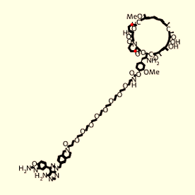 CO[C@H]1C[C@@H]2CC[C@@H](C)[C@@](O)(O2)C(=O)C(=O)N2CCCC[C@H]2C(=O)O[C@H]([C@H](N)C[C@@H]2CC[C@@H](OC(=O)NCCOCCOCCOCCOCCOCCOCCOCCOCCC(=O)N3CCc4cc(Cn5nc(-c6ccc7oc(N)nc7c6)c6c(N)ncnc65)ccc4C3)[C@H](OC)C2)CC(=O)[C@H](C)/C=C(\C)[C@@H](O)[C@@H](O)C(=O)[C@H](C)C[C@H](C)/C=C/C=C/C=C/1C